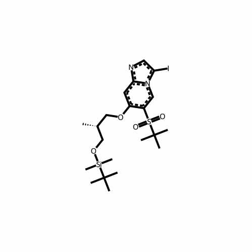 C[C@H](COc1cc2ncc(I)n2cc1S(=O)(=O)C(C)(C)C)CO[Si](C)(C)C(C)(C)C